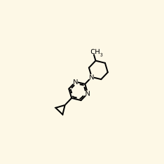 CC1CCCN(c2ncc(C3CC3)cn2)C1